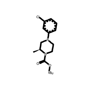 C[C@H]1CN(c2cccc(Cl)c2)CCN1C(=O)OC(C)(C)C